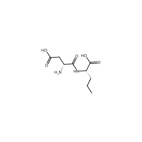 CCC[C@H](NC(=O)[C@H](N)CC(=O)O)C(=O)O